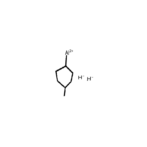 CC1CC[CH]([Al+2])CC1.[H-].[H-]